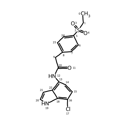 CCS(=O)(=O)c1ccc(CC(=O)Nc2ccc(Cl)c3[nH]ccc23)cc1